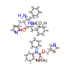 CC(=O)Nc1ccccc1N(C(=O)OCc1cncs1)c1ccccc1.N[C@@H](Cc1ccccc1)C(Cc1cncs1)[C@@H](O)[C@H](Cc1ccccc1)NC(=O)O